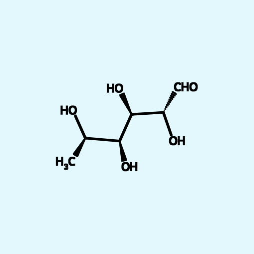 C[C@@H](O)[C@H](O)[C@@H](O)[C@@H](O)C=O